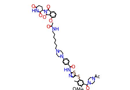 COc1cc(C)c(Sc2cnc(NC(=O)c3ccc(N4CCN(CCCCCCCNC(=O)COc5cccc6c5C(=O)N(C5CCC(=O)NC5=O)C6=O)CC4)cc3)s2)cc1C(=O)N1CCN(C(C)=O)CC1